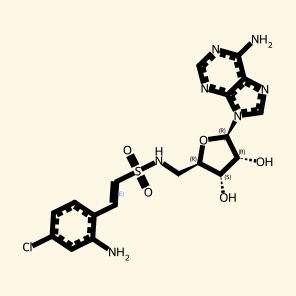 Nc1cc(Cl)ccc1/C=C/S(=O)(=O)NC[C@H]1O[C@@H](n2cnc3c(N)ncnc32)[C@H](O)[C@@H]1O